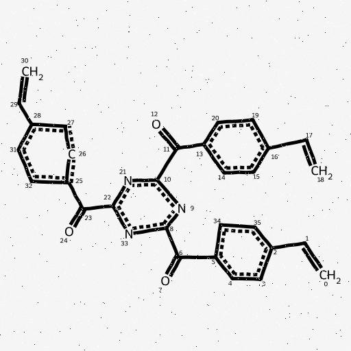 C=Cc1ccc(C(=O)c2nc(C(=O)c3ccc(C=C)cc3)nc(C(=O)c3ccc(C=C)cc3)n2)cc1